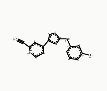 C#Cc1cc(-c2csc(Nc3cccc(C)c3)n2)ccn1